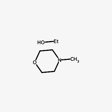 CCO.CN1CCOCC1